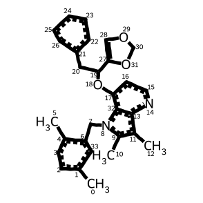 Cc1ccc(C)c(Cn2c(C)c(C)c3nccc(OC(Cc4ccccc4)C4=COCO4)c32)c1